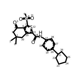 CC1(C)CC(=O)c2c(S(C)(=O)=O)sc(C(=O)Nc3ccc(C4CCCCC4)cc3)c2C1